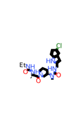 CCNC(=O)N[C@@H](C)C(=O)N1CCC[C@@H](N(C)C(=O)NCc2cc3cc(Cl)ccc3[nH]2)C1